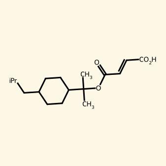 CC(C)CC1CCC(C(C)(C)OC(=O)/C=C/C(=O)O)CC1